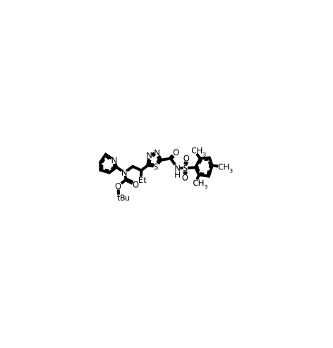 CCC(CN(C(=O)OC(C)(C)C)c1ccccn1)c1nnc(C(=O)NS(=O)(=O)c2c(C)cc(C)cc2C)s1